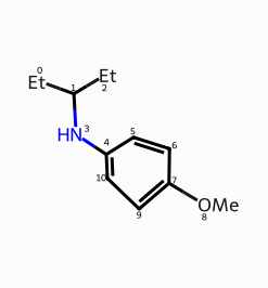 CCC(CC)Nc1ccc(OC)cc1